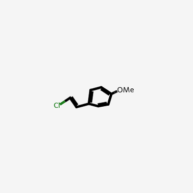 COc1ccc(C=CCl)cc1